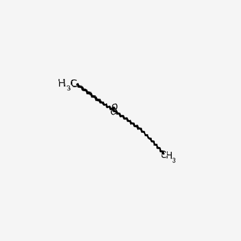 CCCCCCC=CCCCCCCCCCCCC(=O)OCCCCCCCCCCCCCCCCCCCCCCCCCCCCCC